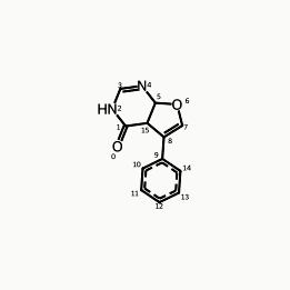 O=C1NC=NC2OC=C(c3ccccc3)C12